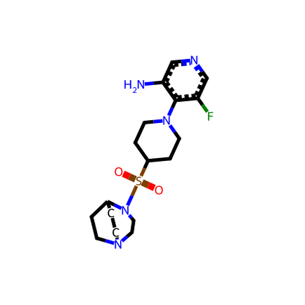 Nc1cncc(F)c1N1CCC(S(=O)(=O)N2CCN3CCC2CC3)CC1